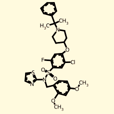 COc1ccc(CN(c2nccs2)S(=O)(=O)c2cc(Cl)c(OC3CCN(C(C)(C)c4ccccc4)CC3)cc2F)c(OC)c1